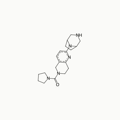 O=C(N1CCCC1)N1CCc2nc(N3C4CCC3CNC4)ccc2C1